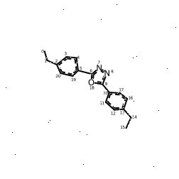 CCc1ccc(-c2nnc(-c3ccc(CC)cc3)o2)cc1